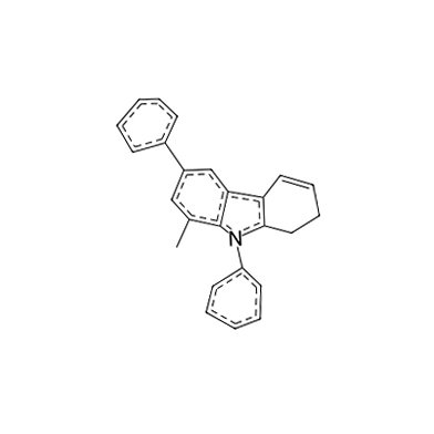 Cc1cc(-c2ccccc2)cc2c3c(n(-c4ccccc4)c12)CCC=C3